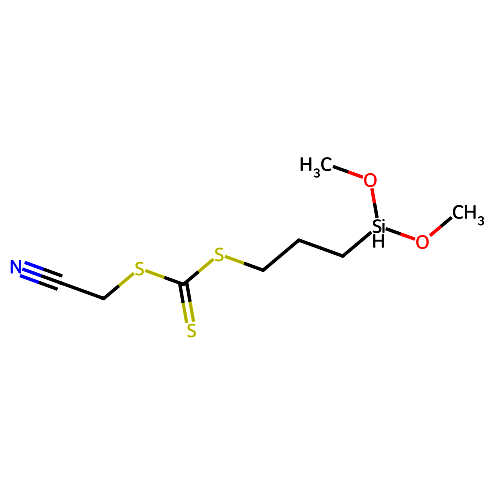 CO[SiH](CCCSC(=S)SCC#N)OC